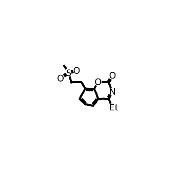 CCc1nc(=O)oc2c(CCS(C)(=O)=O)cccc12